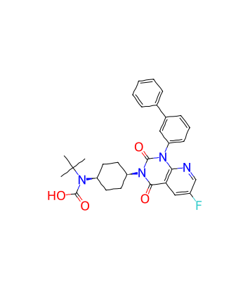 CC(C)(C)N(C(=O)O)[C@H]1CC[C@@H](n2c(=O)c3cc(F)cnc3n(-c3cccc(-c4ccccc4)c3)c2=O)CC1